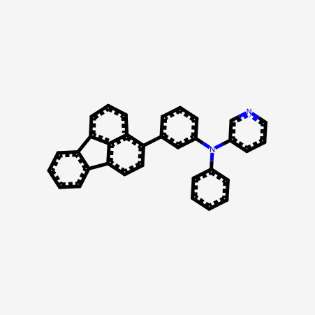 c1ccc(N(c2cccnc2)c2cccc(-c3ccc4c5c(cccc35)-c3ccccc3-4)c2)cc1